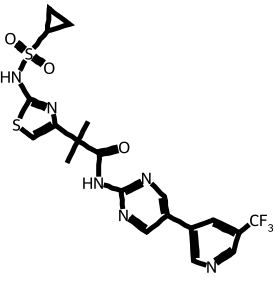 CC(C)(C(=O)Nc1ncc(-c2cncc(C(F)(F)F)c2)cn1)c1csc(NS(=O)(=O)C2CC2)n1